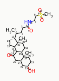 C[C@H](CCC(=O)NCCS(C)(=O)=O)[C@H]1CCC2C3C(=O)CC4C[C@H](O)CC[C@]4(C)C3CC[C@@]21C